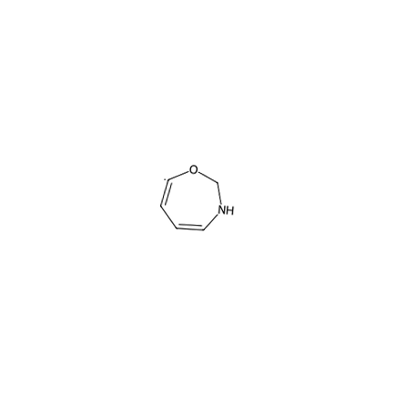 [C]1=CC=CNCO1